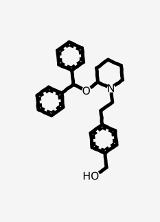 OCc1ccc(CCN2CCCCC2OC(c2ccccc2)c2ccccc2)cc1